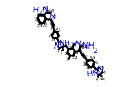 Cc1cc(CC2(C)CN=C(c3ccc(C#Cc4ncc(N)c5ccccc45)cc3)N2)c2cnc(N)c(C#Cc3ccc(C4=NCC(C)(C)N4)cc3)c2c1